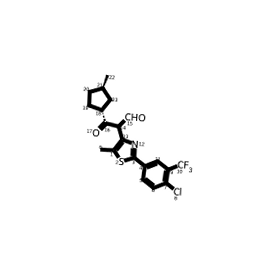 Cc1sc(-c2ccc(Cl)c(C(F)(F)F)c2)nc1C(C=O)C(=O)[C@@H]1CC[C@@H](C)C1